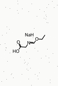 CCOC=NCC(=O)O.[NaH]